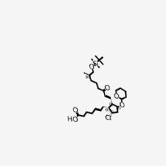 C[C@H](CCCC(=O)C=C[C@H]1[C@@H](CC=CCCCC(=O)O)[C@@H](Cl)C[C@H]1OC1CCCCO1)CO[Si](C)(C)C(C)(C)C